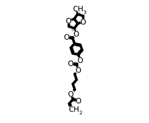 C=CC(=O)OCCCCOC(=O)Oc1ccc(C(=O)O[C@H]2COC3C2OC[C@@H]3C)cc1